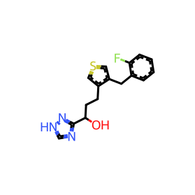 OC(CCc1cscc1Cc1ccccc1F)c1nc[nH]n1